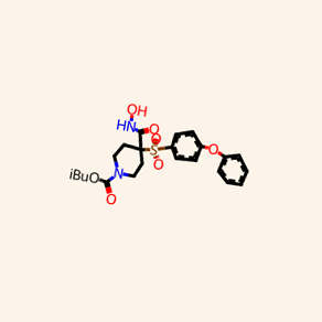 CC(C)COC(=O)N1CCC(C(=O)NO)(S(=O)(=O)c2ccc(Oc3ccccc3)cc2)CC1